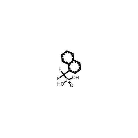 O=P(O)(O)C(F)(F)c1cccc2ccccc12